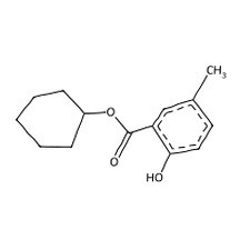 Cc1ccc(O)c(C(=O)OC2CCCCC2)c1